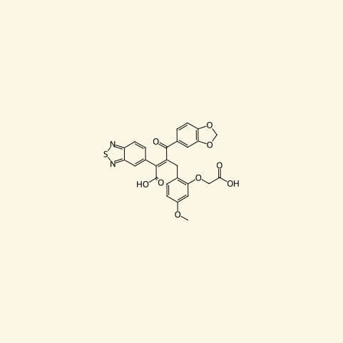 COc1ccc(CC(C(=O)c2ccc3c(c2)OCO3)=C(C(=O)O)c2ccc3nsnc3c2)c(OCC(=O)O)c1